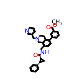 COC(=O)c1cccc(-c2ccc(CNC(=O)[C@H]3C[C@H]3c3ccccc3)c3c2CCN(Cc2cccnc2)C3)c1